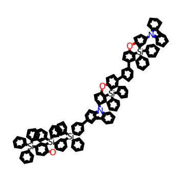 c1ccc([Si](c2ccccc2)(c2ccccc2)c2ccc3c(c2)[Si](c2ccccc2)(c2ccccc2)c2cc([Si](c4ccccc4)(c4ccccc4)c4ccc(-c5ccc6c(c5)c5ccccc5n6-c5ccc6c(c5)[Si](c5ccccc5)(c5ccccc5)c5cc(-c7cccc(-c8ccc9c(c8)[Si](c8ccccc8)(c8ccccc8)c8cc(-n%10c%11ccccc%11c%11ccccc%11%10)ccc8O9)c7)ccc5O6)cc4)ccc2O3)cc1